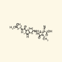 CCn1c(=C(C#N)C(=O)O)sc(=CNc2ccc3c(C(=O)NCCN(C)C)c[nH]c3c2)c1=O